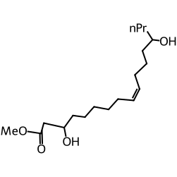 CCCC(O)CCC/C=C\CCCCCC(O)CC(=O)OC